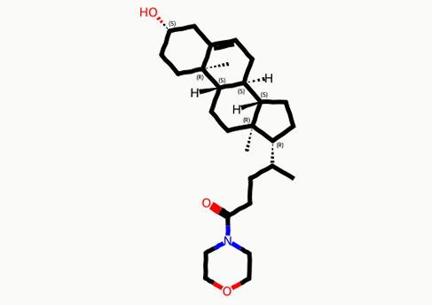 CC(CCC(=O)N1CCOCC1)[C@H]1CC[C@H]2[C@@H]3CC=C4C[C@@H](O)CC[C@]4(C)[C@H]3CC[C@]12C